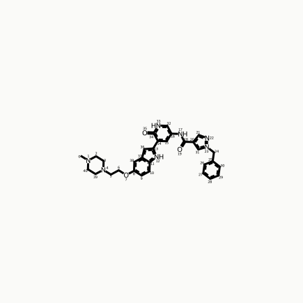 CN1CCN(CCOc2ccc3[nH]c(-c4cc(NC(=O)c5cnn(Cc6ccccc6)c5)c[nH]c4=O)cc3c2)CC1